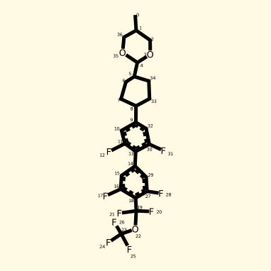 CC1COC(C2CCC(c3cc(F)c(-c4cc(F)c(C(F)(F)OC(F)(F)F)c(F)c4)c(F)c3)CC2)OC1